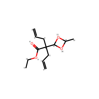 C=CCC(CC=C)(C(=O)OCC)C1OC(C)O1